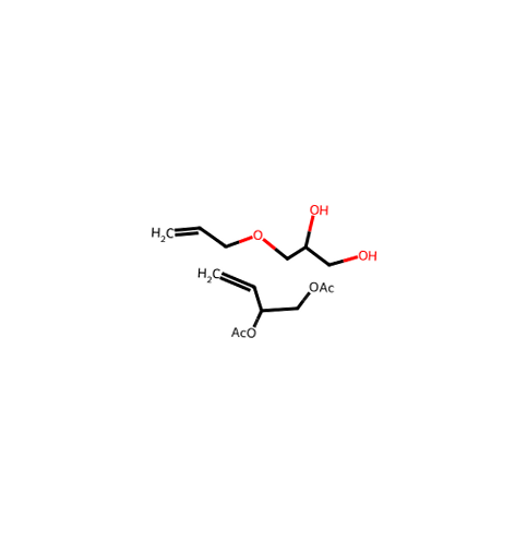 C=CC(COC(C)=O)OC(C)=O.C=CCOCC(O)CO